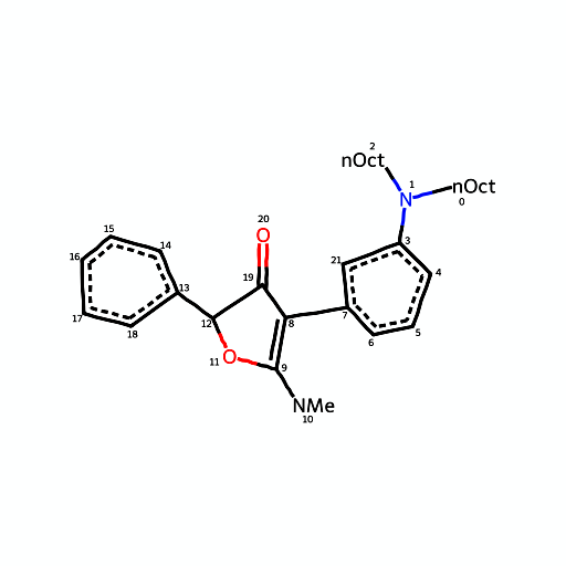 CCCCCCCCN(CCCCCCCC)c1cccc(C2=C(NC)OC(c3ccccc3)C2=O)c1